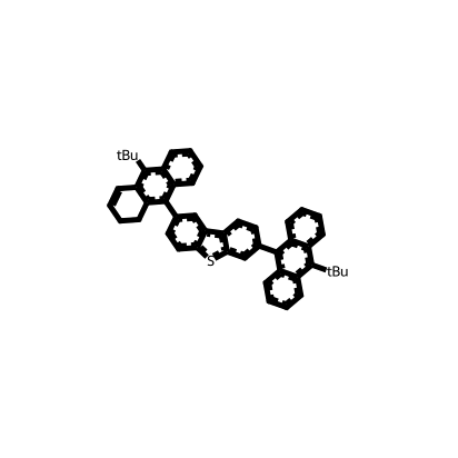 CC(C)(C)c1c2c(c(-c3ccc4sc5cc(-c6c7ccccc7c(C(C)(C)C)c7ccccc67)ccc5c4c3)c3ccccc13)CCC=C2